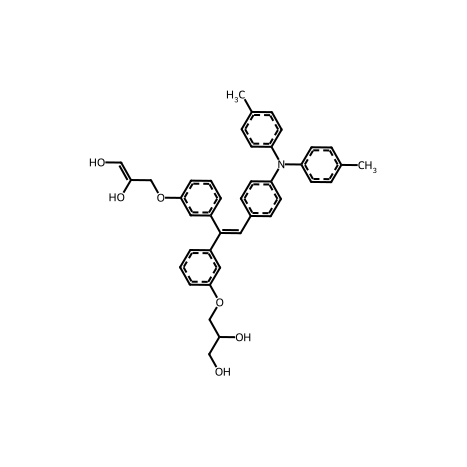 Cc1ccc(N(c2ccc(C)cc2)c2ccc(C=C(c3cccc(OC/C(O)=C/O)c3)c3cccc(OCC(O)CO)c3)cc2)cc1